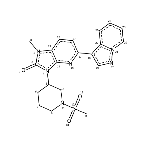 Cn1c(=O)n(C2CCCN(S(C)(=O)=O)C2)c2nc(-c3cnn4ccccc34)ccc21